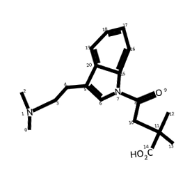 CN(C)CCc1cn(C(=O)CC(C)(C)C(=O)O)c2ccccc12